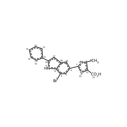 Cc1nc(-c2cc(Br)c3[nH]c(-c4ccccn4)cc3c2)sc1C(=O)O